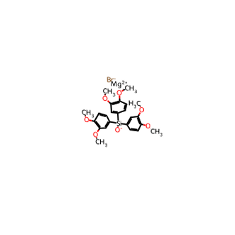 COc1ccc([Si]([O-])(c2ccc(OC)c(OC)c2)c2ccc(OC)c(OC)c2)cc1OC.[Br-].[Mg+2]